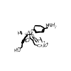 NN=Cc1ccc(OC(=O)C(N)(CC#CCO)C(=O)C(N)CC=O)cc1